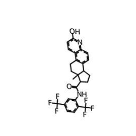 CC12CCc3c(ccc4nc(O)ccc34)C1CCC2C(=O)Nc1cc(C(F)(F)F)ccc1C(F)(F)F